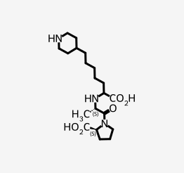 C[C@H](NC(CCCCCC1CCNCC1)C(=O)O)C(=O)N1CCC[C@H]1C(=O)O